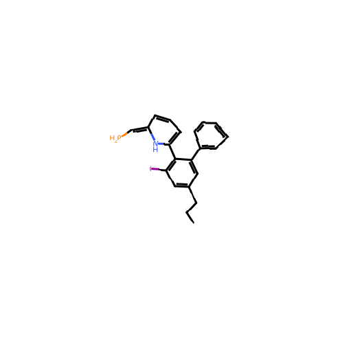 CCCc1cc(I)c(C2=CC=C/C(=C/P)N2)c(-c2ccccc2)c1